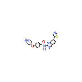 O=C(Nc1ncc2ccc(-c3cncs3)cc2n1)c1ccc(OC2CCNCC2)cc1